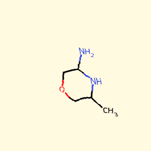 CC1COCC(N)N1